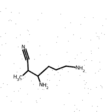 CC(C#N)C(N)CCCN